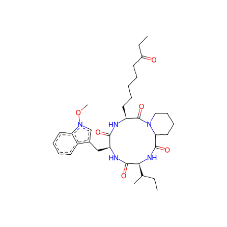 CCC(=O)CCCCC[C@@H]1NC(=O)[C@H](Cc2cn(OC)c3ccccc23)NC(=O)[C@H](C(C)CC)NC(=O)C2CCCCN2C1=O